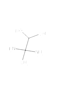 [CH2]C(N)(N)C(O)O